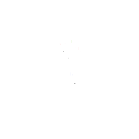 BC(B)(F)c1cc(CO/N=C(\C)c2ccc(CC)c(CC)c2)ccc1C1CCCCC1